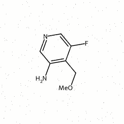 COCc1c(N)cncc1F